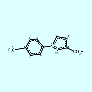 O=C(O)c1ncn(-c2ccc(C(F)(F)F)cc2)n1